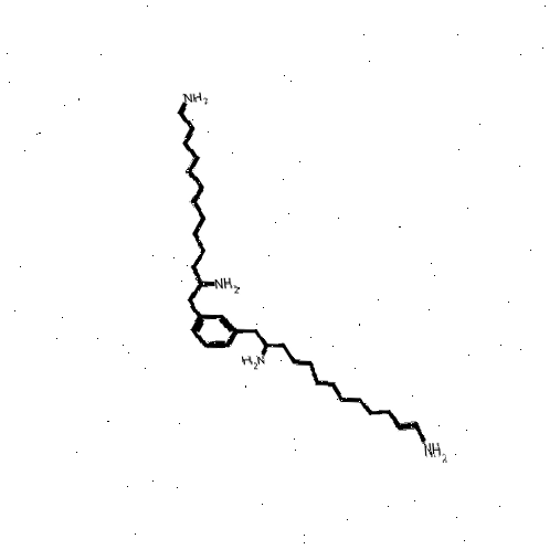 NCCCCCCCCCCCC(N)Cc1cccc(CC(N)CCCCCCCCCCCN)c1